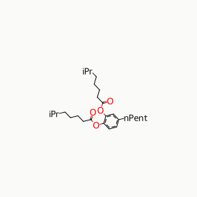 CCCCCc1ccc(OC(=O)CCCCC(C)C)c(OC(=O)CCCCC(C)C)c1